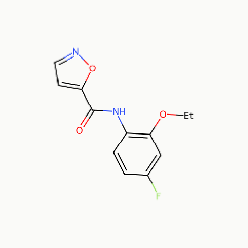 CCOc1cc(F)ccc1NC(=O)c1ccno1